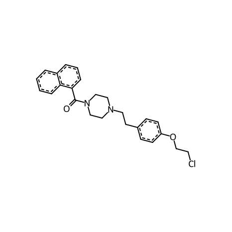 O=C(c1cccc2ccccc12)N1CCN(CCc2ccc(OCCCl)cc2)CC1